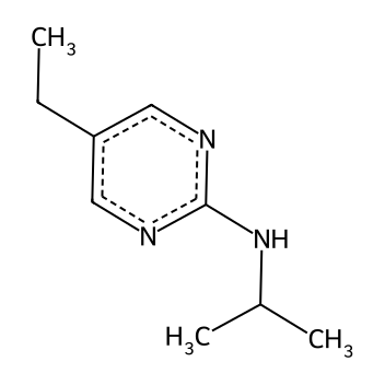 CCc1cnc(NC(C)C)nc1